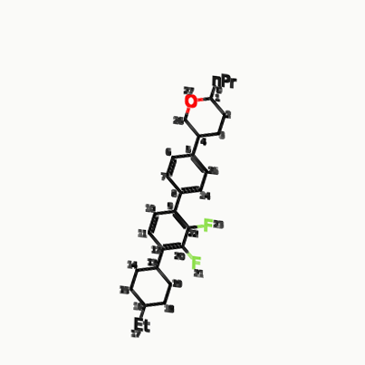 CCCC1CCC(c2ccc(-c3ccc(C4CCC(CC)CC4)c(F)c3F)cc2)CO1